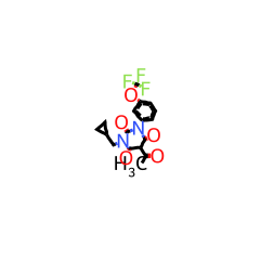 CC(=O)C1C(=O)N(CC2CC2)C(=O)N(c2cccc(OC(F)(F)F)c2)C1=O